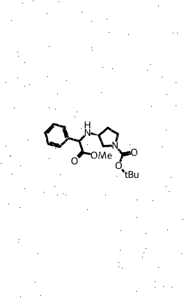 COC(=O)C(N[C@H]1CCN(C(=O)OC(C)(C)C)C1)c1ccccc1